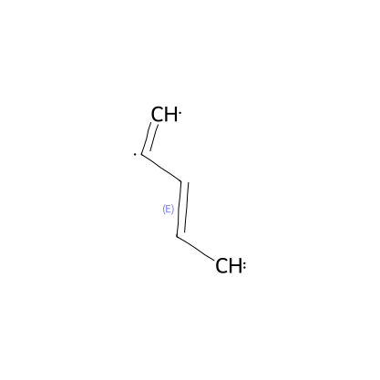 [CH]/C=C/[C]=[CH]